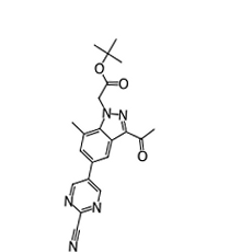 CC(=O)c1nn(CC(=O)OC(C)(C)C)c2c(C)cc(-c3cnc(C#N)nc3)cc12